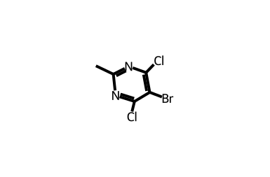 Cc1nc(Cl)c(Br)c(Cl)n1